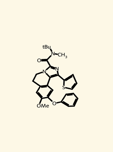 COc1cc2c(cc1Oc1ccccc1)-c1c(-c3cccs3)nc(C(=O)N(C)C(C)(C)C)n1CC2